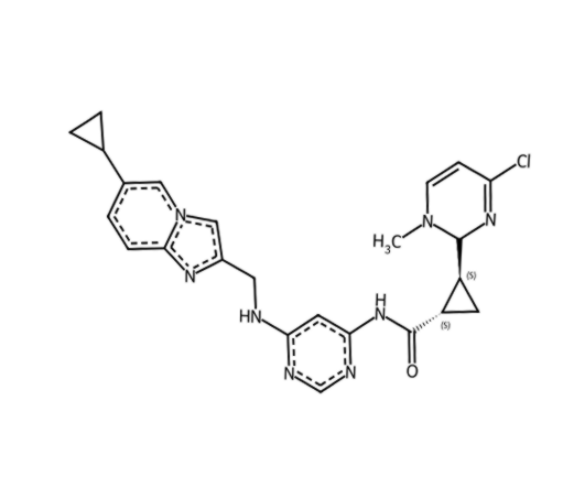 CN1C=CC(Cl)=NC1[C@H]1C[C@@H]1C(=O)Nc1cc(NCc2cn3cc(C4CC4)ccc3n2)ncn1